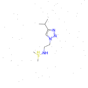 CC(C)c1cn(CCN[SH](C)C)nn1